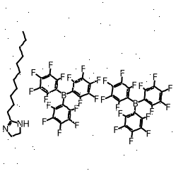 CCCCCCCCCCCC1=NCCN1.Fc1c(F)c(F)c(B(c2c(F)c(F)c(F)c(F)c2F)c2c(F)c(F)c(F)c(F)c2F)c(F)c1F.Fc1c(F)c(F)c(B(c2c(F)c(F)c(F)c(F)c2F)c2c(F)c(F)c(F)c(F)c2F)c(F)c1F